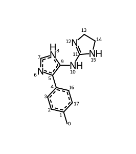 Cc1ccc(-c2nc[nH]c2NC2=NCCN2)cc1